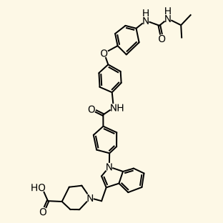 CC(C)NC(=O)Nc1ccc(Oc2ccc(NC(=O)c3ccc(-n4cc(CN5CCC(C(=O)O)CC5)c5ccccc54)cc3)cc2)cc1